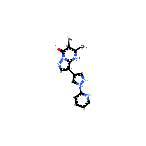 Cc1[nH]c2c(-c3cnn(-c4ccccn4)c3)cnn2c(=O)c1C(C)C